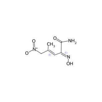 C/C(=C\C(=N/O)C(N)=O)C[N+](=O)[O-]